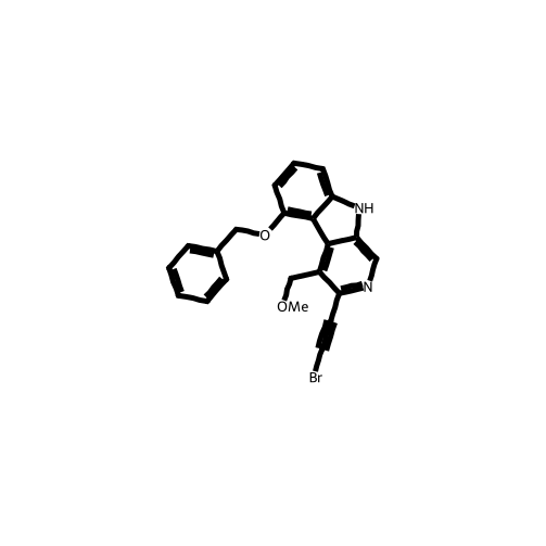 COCc1c(C#CBr)ncc2[nH]c3cccc(OCc4ccccc4)c3c12